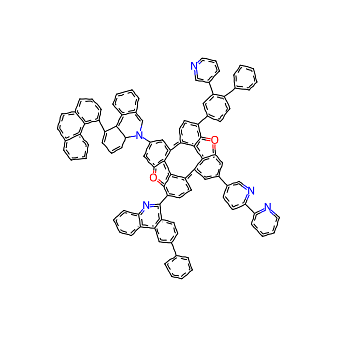 C1=CC2C(=c3ccccc3=CN2c2cc3oc4c(-c5nc6ccccc6c6cc(-c7ccccc7)ccc56)ccc5c6cc(-c7ccc(-c8ccccn8)nc7)cc7oc8c(-c9ccc(-c%10ccccc%10)c(-c%10cccnc%10)c9)ccc(c(c2)c3c45)c8c76)C(c2cccc3ccc4ccccc4c23)=C1